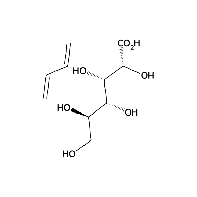 C=CC=C.O=C(O)[C@H](O)[C@@H](O)[C@H](O)[C@H](O)CO